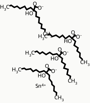 CCCCCCCCC(O)(CCCCCCCC)C(=O)[O-].CCCCCCCCC(O)(CCCCCCCC)C(=O)[O-].CCCCCCCCC(O)(CCCCCCCC)C(=O)[O-].CCCCCCCCC(O)(CCCCCCCC)C(=O)[O-].[Sn+4]